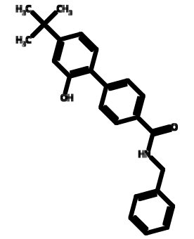 CC(C)(C)c1ccc(-c2ccc(C(=O)NCc3ccccc3)cc2)c(O)c1